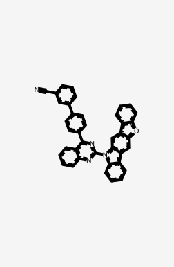 N#Cc1cccc(-c2ccc(-c3nc(-n4c5ccccc5c5cc6oc7ccccc7c6cc54)nc4ccccc34)cc2)c1